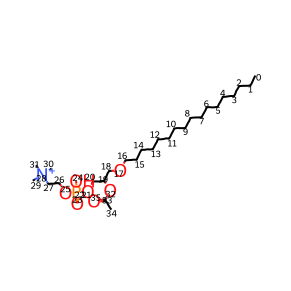 CCCCCCCCCCCCCCCCCOCC(COP(=O)(O)OCC[N+](C)(C)C)OC(C)=O